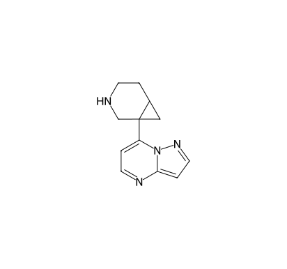 c1cc(C23CNCCC2C3)n2nccc2n1